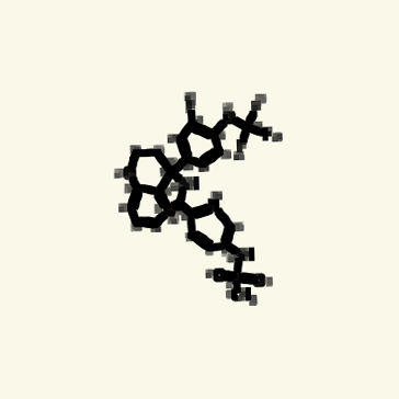 CS(=O)(=O)Nc1ccc(C(=O)N[C@]2(c3ccc(OC(F)(F)F)c(F)c3)CCOc3cccnc32)nc1